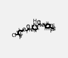 O=C(COc1ccc(Cl)c(F)c1)N[C@H]1CC[C@H](C(=O)NCc2ccc(C(F)(F)F)cc2)NC1